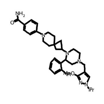 COc1nn(C(C)C)cc1CN1CCN(C2CC3(CCN(c4ccc(C(N)=O)cc4)CC3)C2)C(c2ccccc2C(C)C)C1